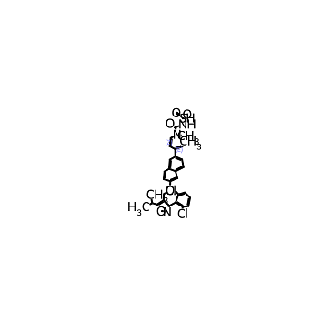 C/C=C(\C=C/N(C)C(=O)N[SH](=O)=O)c1ccc2cc(OCc3c(-c4c(Cl)cccc4Cl)noc3C(C)C)ccc2c1